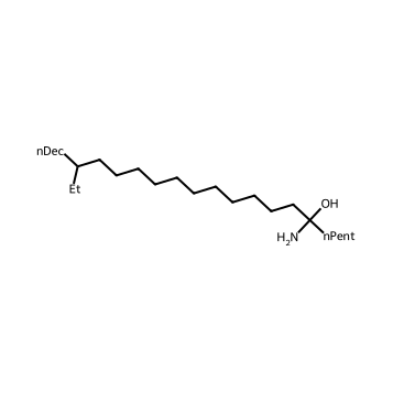 CCCCCCCCCCC(CC)CCCCCCCCCCCC(N)(O)CCCCC